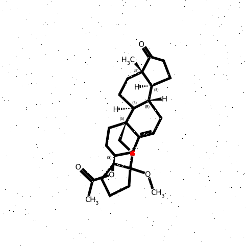 COC1(OC[C@]23CC[C@H](OC(C)=O)CC2=CC[C@@H]2[C@@H]3CC[C@]3(C)C(=O)CC[C@@H]23)CCCC1